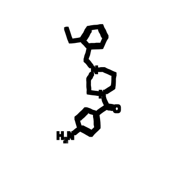 CCc1ccccc1CN1CCCN(C(=O)c2ccc(N)cc2)CC1